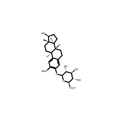 COc1cc2c(cc1OC1O[C@H](C(=O)O)[C@@H](O)[C@H](O)[C@H]1O)CC[C@@H]1[C@@H]2CC[C@]2(C)[C@@H](O)CC[C@@H]12